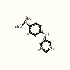 CCCCN(CCCC)c1ccc(Nc2cncnc2)cc1